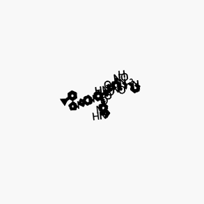 O=C(NS(=O)(=O)c1cc([N+](=O)[O-])c2c(n1)OC[C@H](Cc1ccccn1)N2)c1ccc(N2CCC3(CC2)CC(N2CCC[C@@H]2c2ccccc2C2CC2)C3)cc1Oc1cnc2[nH]ccc2c1